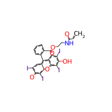 C=CC(=O)NCCOC(=O)c1ccccc1-c1c2cc(I)c(=O)c(I)c-2oc2c(I)c(O)c(I)cc12